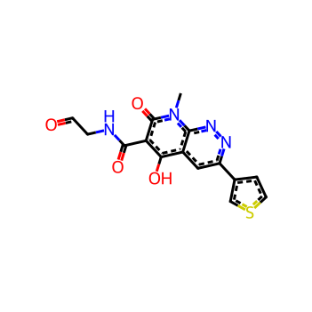 Cn1c(=O)c(C(=O)NCC=O)c(O)c2cc(-c3ccsc3)nnc21